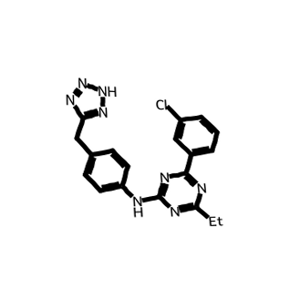 CCc1nc(Nc2ccc(Cc3nn[nH]n3)cc2)nc(-c2cccc(Cl)c2)n1